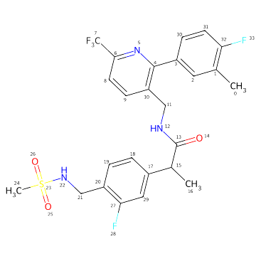 Cc1cc(-c2nc(C(F)(F)F)ccc2CNC(=O)C(C)c2ccc(CNS(C)(=O)=O)c(F)c2)ccc1F